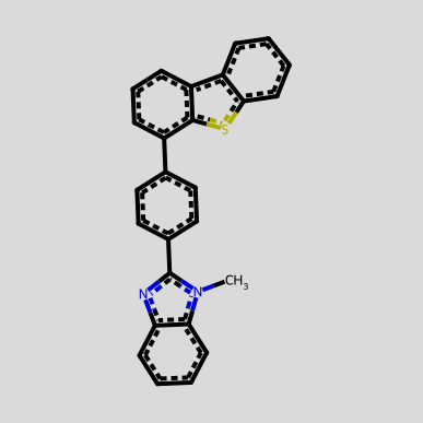 Cn1c(-c2ccc(-c3cccc4c3sc3ccccc34)cc2)nc2ccccc21